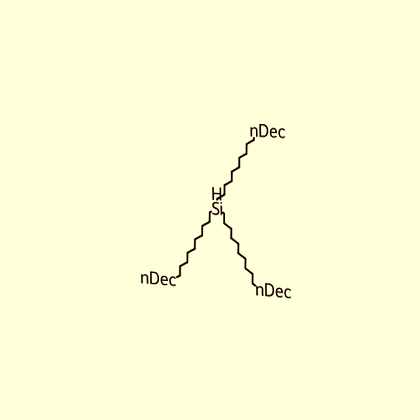 CCCCCCCCCCCCCCCCCCCC[SiH](CCCCCCCCCCCCCCCCCCCC)CCCCCCCCCCCCCCCCCCCC